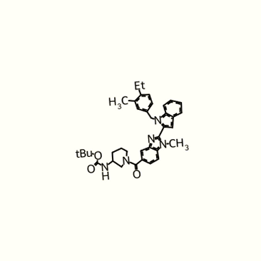 CCc1ccc(Cn2c(-c3nc4cc(C(=O)N5CCCC(NC(=O)OC(C)(C)C)C5)ccc4n3C)cc3ccccc32)cc1C